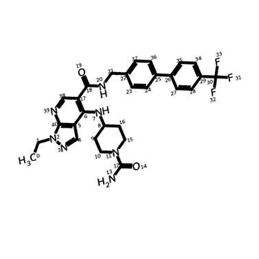 CCn1ncc2c(NC3CCN(C(N)=O)CC3)c(C(=O)NCc3ccc(-c4ccc(C(F)(F)F)cc4)cc3)cnc21